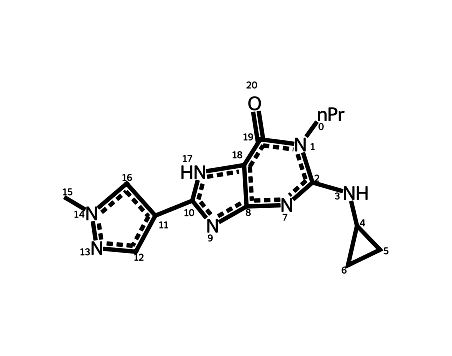 CCCn1c(NC2CC2)nc2nc(-c3cnn(C)c3)[nH]c2c1=O